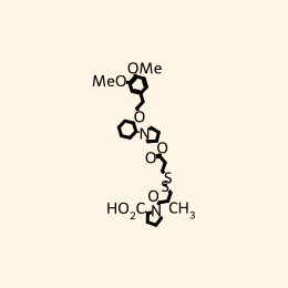 COc1ccc(CCO[C@@H]2CCCC[C@H]2N2CC[C@@H](OC(=O)CCSSC[C@@H](C)C(=O)N3CCC[C@H]3C(=O)O)C2)cc1OC